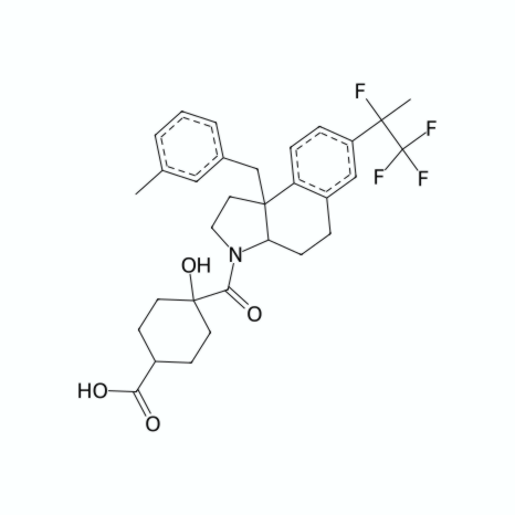 Cc1cccc(CC23CCN(C(=O)C4(O)CCC(C(=O)O)CC4)C2CCc2cc(C(C)(F)C(F)(F)F)ccc23)c1